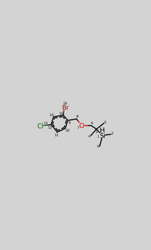 C[SiH](C)C(C)(C)COCc1ccc(Cl)cc1Br